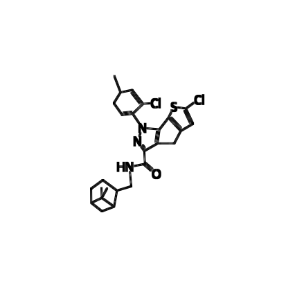 CC1C=C(Cl)C(n2nc(C(=O)NCC3CCC4CC3C4(C)C)c3c2-c2sc(Cl)cc2C3)=CC1